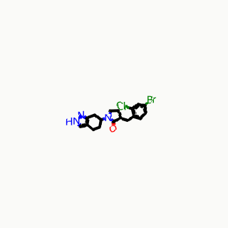 O=C1C(Cc2ccc(Br)cc2Cl)CCN1C1CCc2c[nH]nc2C1